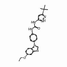 CCOc1ccc2c(c1)ncn2-c1ccc(NC(=O)Nc2cc(C(C)(C)C)n[nH]2)cc1